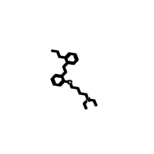 CCCc1ccccc1CCc1ccccc1OCCCCN(CC)CC